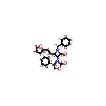 O=C1C(N2C(=O)OC[C@@H]2c2ccccc2)C(C=Cc2ccco2)N1Cc1ccccc1